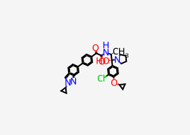 C[C@@H](NC(=O)C(=O)c1ccc(-c2ccc3cn(C4CC4)nc3c2)cc1)[C@](O)(c1ccc(OC2CC2)c(Cl)c1)N1CCCC1